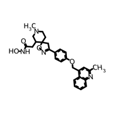 Cc1cc(COc2ccc(C3=NOC4(CCN(C)CC4CC(=O)NO)C3)cc2)c2ccccc2n1